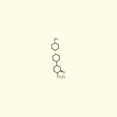 CCC[C@H]1CC[C@H](C2CCC(C3CCC(C(=O)OCC)C(=O)C3)CC2)CC1